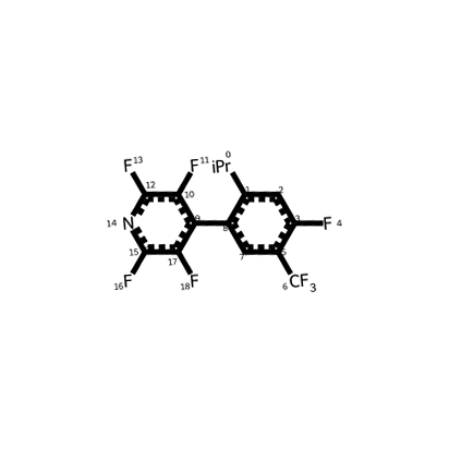 CC(C)c1cc(F)c(C(F)(F)F)cc1-c1c(F)c(F)nc(F)c1F